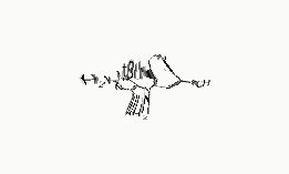 C#Cc1cc(Nc2cnc(N)nc2N)c(C(C)(C)C)cn1